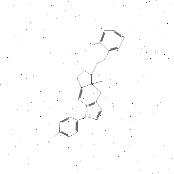 CC12Cc3ccn(-c4ccc(F)cc4)c3C=C1CC[C@@]2(O)CCc1ccccc1I